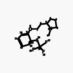 CN1CCCC1CCOc1ccccc1SC(F)(F)F